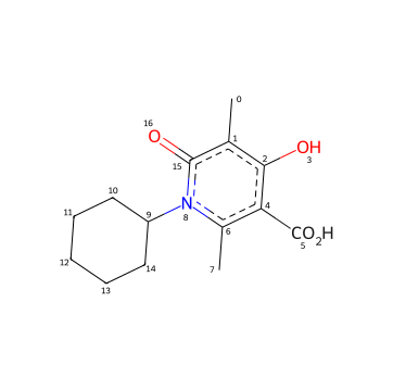 Cc1c(O)c(C(=O)O)c(C)n(C2CCCCC2)c1=O